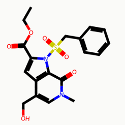 CCOC(=O)c1cc2c(CO)cn(C)c(=O)c2n1S(=O)(=O)Cc1ccccc1